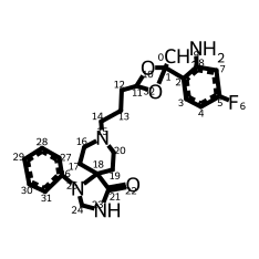 CC1(c2ccc(F)cc2N)OC(CCCN2CCC3(CC2)C(=O)NCN3c2ccccc2)O1